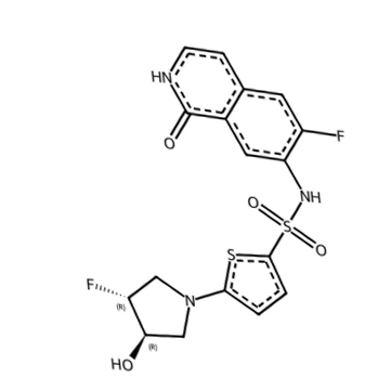 O=c1[nH]ccc2cc(F)c(NS(=O)(=O)c3ccc(N4C[C@@H](O)[C@H](F)C4)s3)cc12